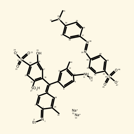 CCN=C1C=C/C(=C(/c2ccc(NCC)c(C)c2)c2cc(O)c(S(=O)(=O)[O-])cc2S(=O)(=O)O)C=C1C.CN(C)c1ccc(N=Nc2ccc(S(=O)(=O)[O-])cc2)cc1.[Na+].[Na+]